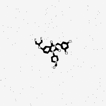 O=CN1CCC(n2c(=O)n(Cc3cc(Cl)cc(Cl)c3)c(=O)c3cc(OC(CF)CF)ccc32)CC1